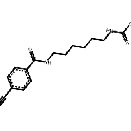 N#Cc1ccc(C(=O)NCCCCCCNC(=O)O)cc1